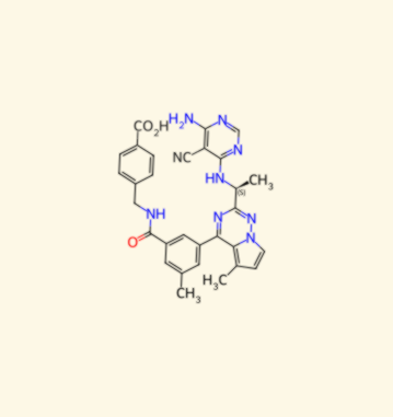 Cc1cc(C(=O)NCc2ccc(C(=O)O)cc2)cc(-c2nc([C@H](C)Nc3ncnc(N)c3C#N)nn3ccc(C)c23)c1